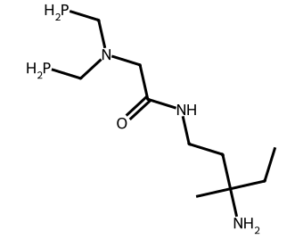 CCC(C)(N)CCNC(=O)CN(CP)CP